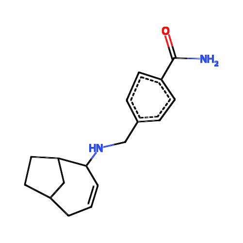 NC(=O)c1ccc(CNC2C=CCC3CCC2C3)cc1